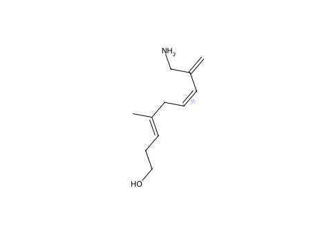 C=C(/C=C\CC(C)=CCCO)CN